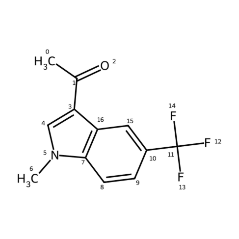 CC(=O)c1cn(C)c2ccc(C(F)(F)F)cc12